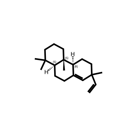 C=CC1(C)C=C2CC[C@H]3C(C)(C)CCC[C@]3(C)[C@H]2CC1